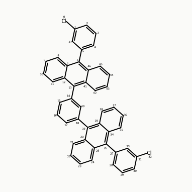 Clc1cccc(-c2c3ccccc3c(-c3cccc(-c4c5ccccc5c(-c5cccc(Cl)c5)c5ccccc45)c3)c3ccccc23)c1